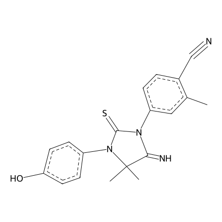 Cc1cc(N2C(=N)C(C)(C)N(c3ccc(O)cc3)C2=S)ccc1C#N